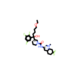 CCOCCCC[C@@](O)(c1cc(F)cc(F)c1F)[C@@H]1CCCN(C(=O)N[C@H](CNC)CC2CCC(F)(F)CC2)C1